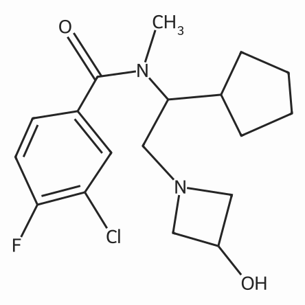 CN(C(=O)c1ccc(F)c(Cl)c1)C(CN1CC(O)C1)C1CCCC1